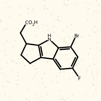 O=C(O)CC1CCc2c1[nH]c1c(Br)cc(F)cc21